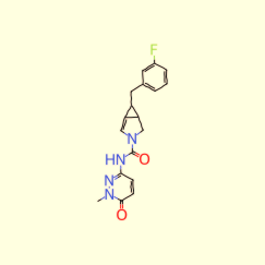 Cn1nc(NC(=O)N2C=C3C(Cc4cccc(F)c4)C3C2)ccc1=O